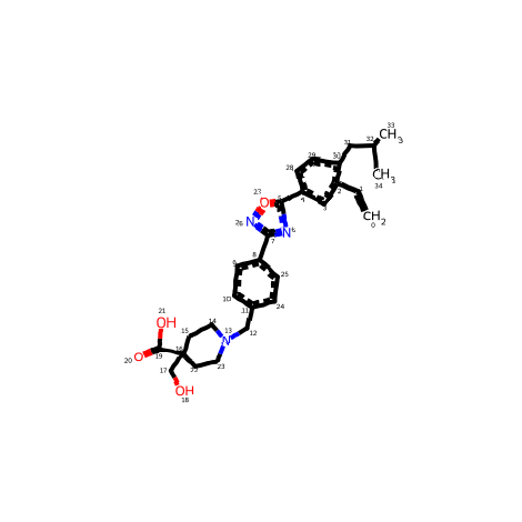 C=Cc1cc(-c2nc(-c3ccc(CN4CCC(CO)(C(=O)O)CC4)cc3)no2)ccc1CC(C)C